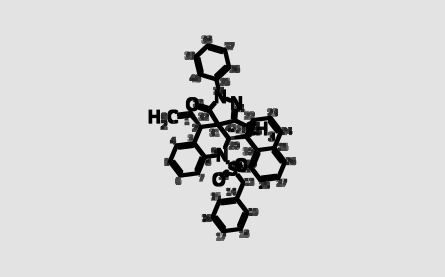 C=C[C@@H]1c2ccccc2N(S(=O)(=O)Cc2ccccc2)[C@H](c2cccc3ccccc23)C12C(=O)N(c1ccccc1)N=C2C